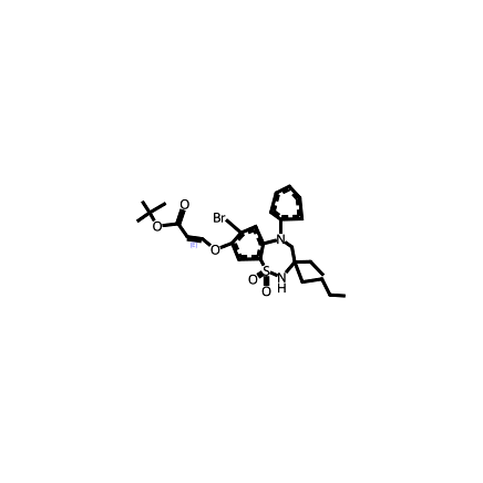 CCCCC1(CC)CN(c2ccccc2)c2cc(Br)c(O/C=C/C(=O)OC(C)(C)C)cc2S(=O)(=O)N1